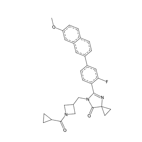 COc1ccc2ccc(-c3ccc(C4=NC5(CC5)C(=O)N4CC4CN(C(=O)C5CC5)C4)c(F)c3)cc2c1